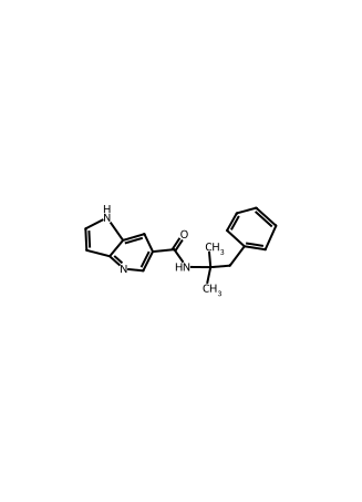 CC(C)(Cc1ccccc1)NC(=O)c1cnc2cc[nH]c2c1